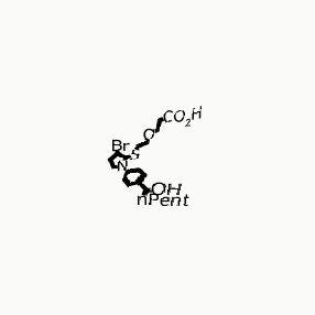 CCCCCC(O)c1ccc(N2CCC(Br)C2SCCOCCC(=O)O)cc1